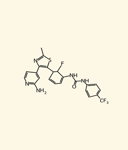 Cc1nc(-c2ccnc(N)c2)c(C2C=CC=C(NC(=O)Nc3ccc(C(F)(F)F)cc3)C2F)s1